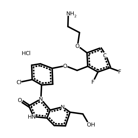 Cl.NCCOc1ccc(F)c(F)c1COc1ccc(Cl)c(-n2c(=O)[nH]c3ccc(CO)nc32)c1